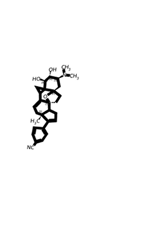 CN(C)[C@H]1C[C@@]23CC[C@@]4(O2)C(=CC[C@]2(C)C(c5ccc(C#N)cc5)=CCC24)C2CC23[C@@H](O)[C@@H]1O